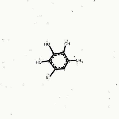 Cc1cc(Br)c(O)c(O)c1O